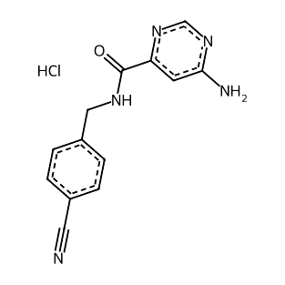 Cl.N#Cc1ccc(CNC(=O)c2cc(N)ncn2)cc1